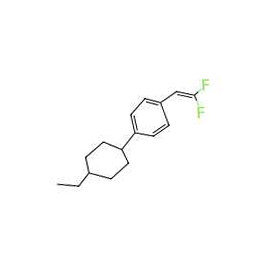 CCC1CCC(c2ccc(C=C(F)F)cc2)CC1